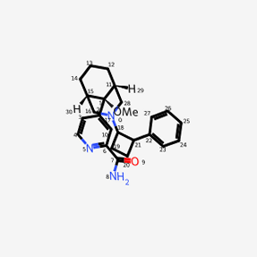 CO[C@]1(c2ccnc(C(N)=O)c2)[C@@H]2CCC[C@H]1CN(C1CCC1c1ccccc1)C2